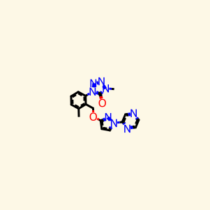 Cc1cccc(-n2nnn(C)c2=O)c1COc1ccn(-c2cnccn2)n1